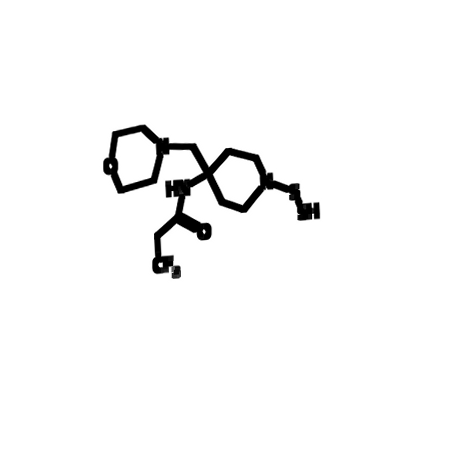 O=C(CC(F)(F)F)NC1(CN2CCOCC2)CCN(SS)CC1